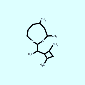 CC1CCCCC(C(C)C2C(C)CC2N)CC(C)C1